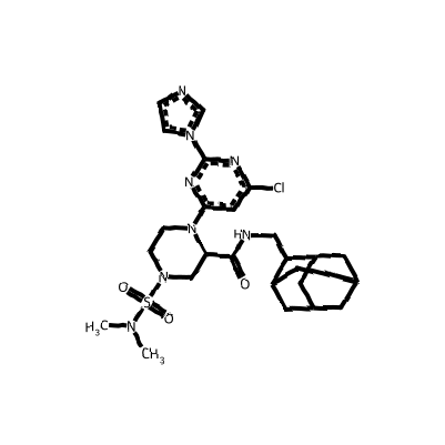 CN(C)S(=O)(=O)N1CCN(c2cc(Cl)nc(-n3ccnc3)n2)C(C(=O)NCC2C3CC4CC(C3)CC2C4)C1